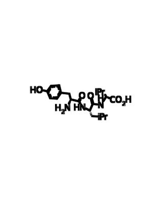 CC(C)C[C@H](NC(=O)[C@@H](N)Cc1ccc(O)cc1)C(=O)N[C@H](C(=O)O)C(C)C